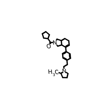 CC1CCCN1CCc1ccc(C2=CCCC3CN(C(=O)C4CCCC4)CC23)cc1